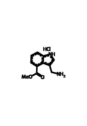 COC(=O)c1cccc2[nH]cc(CN)c12.Cl